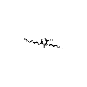 [N-]=[N+]=NOCCOC(=O)N[C@@H](CCCCN)C(=O)O